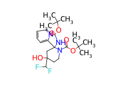 CC(C)(C)OC(=O)NC1(c2ccccn2)CC(O)(C(F)F)CCN1C(=O)OC(C)(C)C